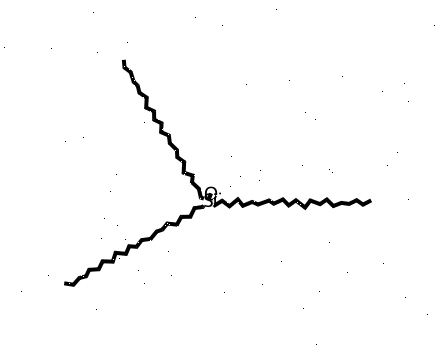 CCCCCCCCCCCCCCCCCCCCCC[Si]([O])(CCCCCCCCCCCCCCCCCCCCCC)CCCCCCCCCCCCCCCCCCCCCC